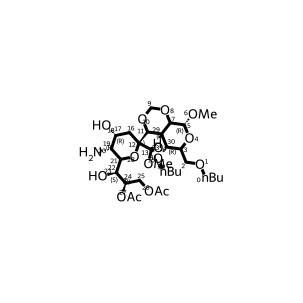 CCCCOCC1O[C@@H](OC)C2OCOC([C@]3(C(=O)OC)C[C@@H](O)[C@@H](N)C([C@H](O)[C@@H](COC(C)=O)OC(C)=O)O3)[C@H]2[C@H]1OCCCC